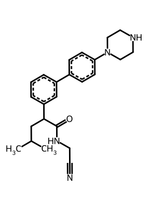 CC(C)CC(C(=O)NCC#N)c1cccc(-c2ccc(N3CCNCC3)cc2)c1